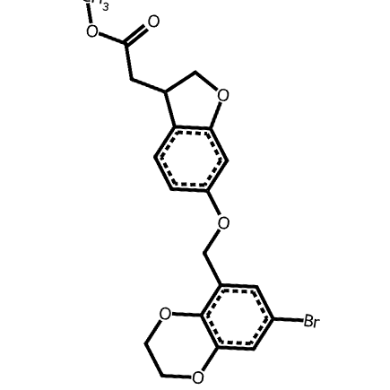 COC(=O)CC1COc2cc(OCc3cc(Br)cc4c3OCCO4)ccc21